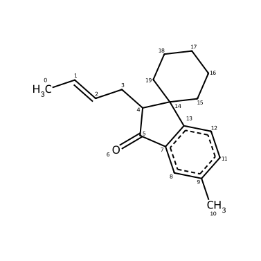 C/C=C/CC1C(=O)c2cc(C)ccc2C12CCCCC2